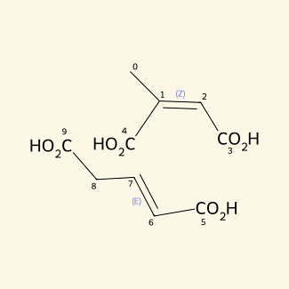 C/C(=C/C(=O)O)C(=O)O.O=C(O)/C=C/CC(=O)O